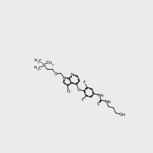 C[Si](C)(C)CCOCn1cc(Cl)c2c(Oc3c(F)cc(NC(=S)NCCCO)cc3F)ccnc21